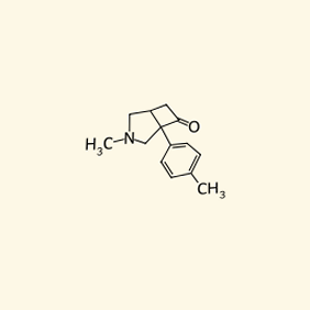 Cc1ccc(C23CN(C)CC2CC3=O)cc1